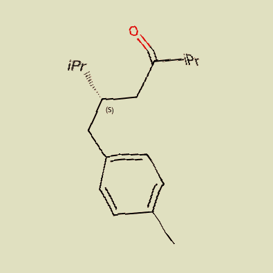 Cc1ccc(C[C@@H](CC(=O)C(C)C)C(C)C)cc1